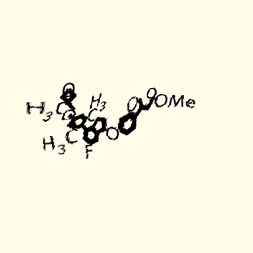 COC(=O)CC1COc2cc(O[C@@H]3CCc4c(-c5c(C)cc(OCC6(C)COC6)cc5C)cc(F)cc43)ccc21